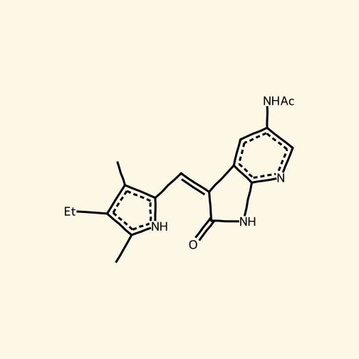 CCc1c(C)[nH]c(C=C2C(=O)Nc3ncc(NC(C)=O)cc32)c1C